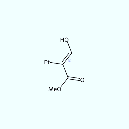 CC/C(=C\O)C(=O)OC